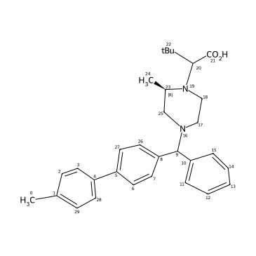 Cc1ccc(-c2ccc(C(c3ccccc3)N3CCN(C(C(=O)O)C(C)(C)C)[C@H](C)C3)cc2)cc1